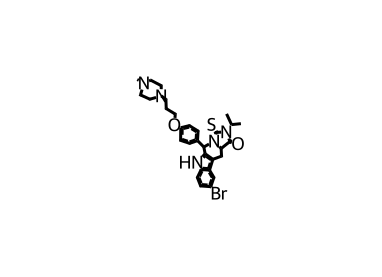 CC(C)N1C(=O)C2Cc3c([nH]c4ccc(Br)cc34)C(c3ccc(OCCCN4CCN(C)CC4)cc3)N2C1=S